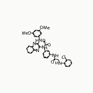 COc1cc(Nc2nc3ccccc3nc2N(c2cccc(NC(=O)CNc3ccccc3Cl)c2)[SH](=O)=O)cc(OC)c1